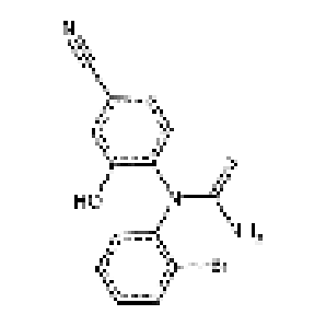 N#Cc1ccc(N(C(N)=S)c2ccccc2Br)c(O)c1